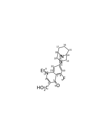 CCn1cc(C(=O)O)c(=O)c2c(F)cc(N3CC4CCCC(C3)N4C)cc21